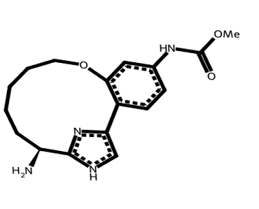 COC(=O)Nc1ccc2c(c1)OCCCCC[C@H](N)c1nc-2c[nH]1